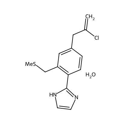 C=C(Cl)Cc1ccc(-c2ncc[nH]2)c(CSC)c1.O